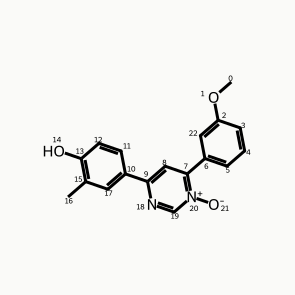 COc1cccc(-c2cc(-c3ccc(O)c(C)c3)nc[n+]2[O-])c1